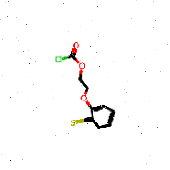 O=C(Cl)OCCOC1=CC=CCC1=S